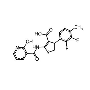 Cc1ccc(C2CSC(NC(=O)c3cccnc3O)=C2C(=O)O)c(F)c1F